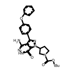 CC(C)(C)OC(=O)N1CCC(n2nc(-c3ccc(Oc4ccccc4)cc3)c3c(N)n[nH]c(=O)c32)C1